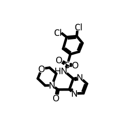 O=C(c1nccnc1NS(=O)(=O)c1ccc(Cl)c(Cl)c1)N1CCOCC1